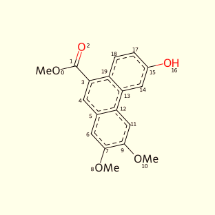 COC(=O)c1cc2cc(OC)c(OC)cc2c2cc(O)ccc12